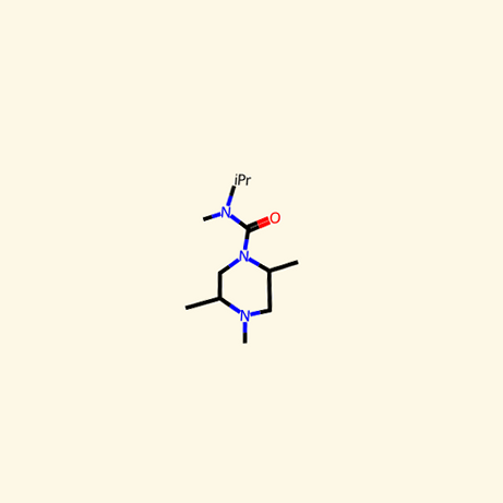 CC1CN(C(=O)N(C)C(C)C)C(C)CN1C